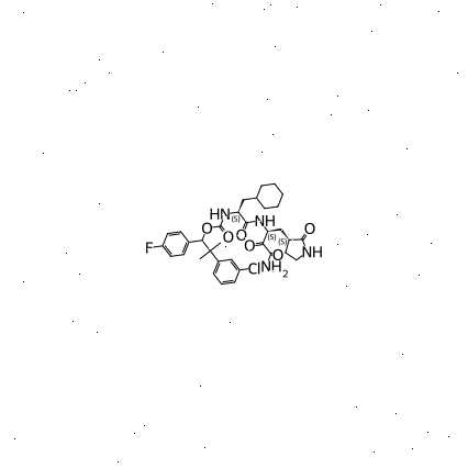 CC(C)(c1cccc(Cl)c1)C(OC(=O)N[C@@H](CC1CCCCC1)C(=O)N[C@@H](C[C@@H]1CCNC1=O)C(=O)C(N)=O)c1ccc(F)cc1